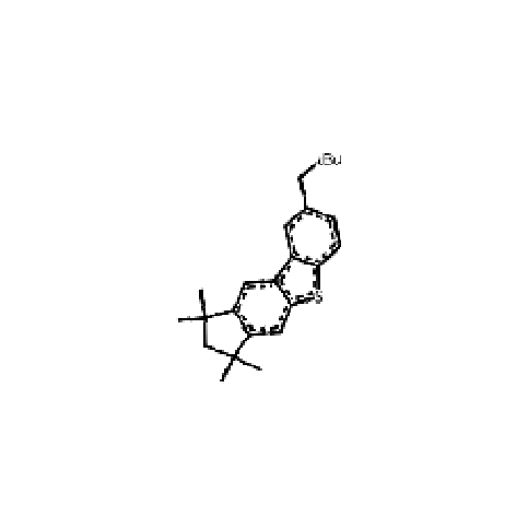 CC(C)(C)Cc1ccc2sc3cc4c(cc3c2c1)C(C)(C)CC4(C)C